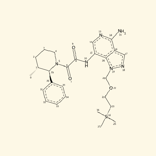 C[C@@H]1CCCN(C(=O)C(=O)Nc2cnc(N)c3cnn(COCC[Si](C)(C)C)c23)[C@H]1c1ccccc1